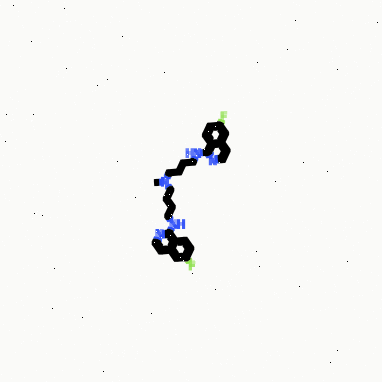 CN(CCCCNc1nccc2cc(F)ccc12)CCCCNc1nccc2cc(F)ccc12